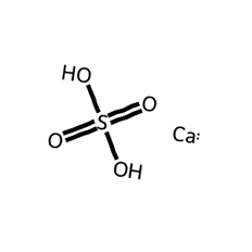 O=S(=O)(O)O.[Ca]